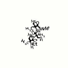 CCN[C@](C)(CS)C(=O)N[C@](N)(CS)C(=O)N[C@](C)(CS)C(=O)NC